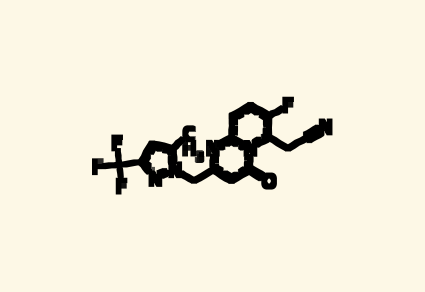 Cc1cc(C(F)(F)F)nn1Cc1cc(=O)n2c(CC#N)c(F)ccc2n1